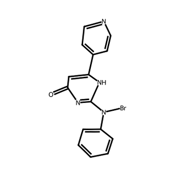 O=c1cc(-c2ccncc2)[nH]c(N(Br)c2ccccc2)n1